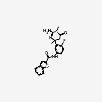 CN1C(=O)CC(C)(c2cc(NC(=O)c3cc4ccccc4s3)ccc2F)N=C1N